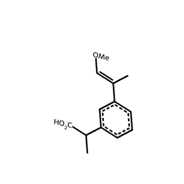 COC=C(C)c1cccc(C(C)C(=O)O)c1